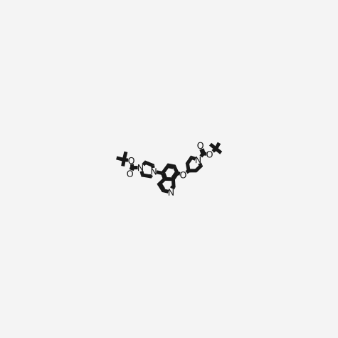 CC(C)(C)OC(=O)N1CCC(Oc2ccc(N3CCN(C(=O)OC(C)(C)C)CC3)c3ccncc23)CC1